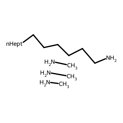 CCCCCCCCCCCCCN.CN.CN.CN